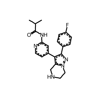 CC(C)C(=O)Nc1cc(-c2c(-c3ccc(F)cc3)nn3c2CNCC3)ccn1